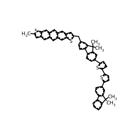 Cc1cc2cc3cc4cc5sc(Cc6ccc7c(c6)C(C)(C)c6cc(-c8ccc(-c9ccc(-c%10ccc%11c(c%10)C(C)(C)c%10ccccc%10-%11)s9)s8)ccc6-7)cc5cc4cc3cc2s1